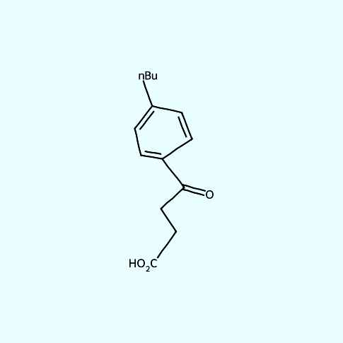 CCCCc1ccc(C(=O)CCC(=O)O)cc1